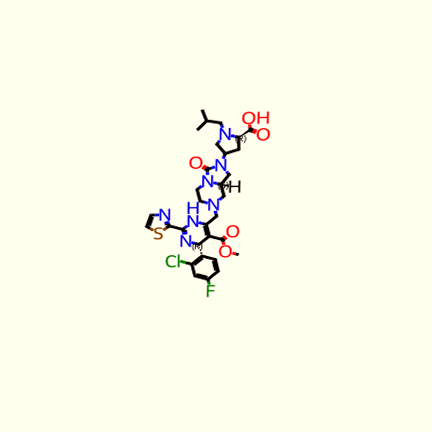 COC(=O)C1=C(CN2CCN3C(=O)N(C4C[C@H](C(=O)O)N(CC(C)C)C4)C[C@@H]3C2)NC(c2nccs2)=N[C@H]1c1ccc(F)cc1Cl